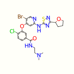 CN(C)CCNC(=O)c1ccc(Cl)c(Oc2cc(Nc3nc(C4CCCO4)ns3)ncc2Br)c1